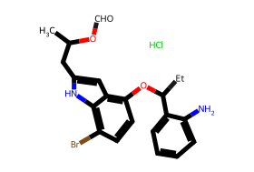 CCC(Oc1ccc(Br)c2[nH]c(CC(C)OC=O)cc12)c1ccccc1N.Cl